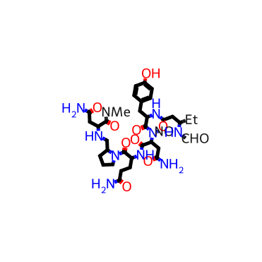 CCC(CC(=O)NC(Cc1ccc(O)cc1)C(=O)N(N=O)C(CC(N)=O)C(=O)NC(CCC(N)=O)C(=O)N1CCCC1CNC(CC(N)=O)C(=O)NC)NC=O